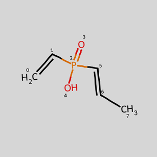 C=CP(=O)(O)C=CC